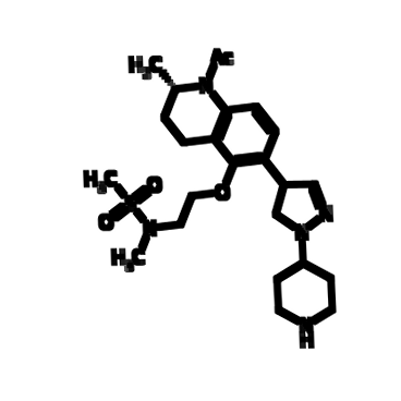 CC(=O)N1c2ccc(C3C=NN(C4CCNCC4)C3)c(OCCN(C)S(C)(=O)=O)c2CC[C@@H]1C